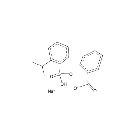 CC(C)c1ccccc1S(=O)(=O)O.O=C([O-])c1ccccc1.[Na+]